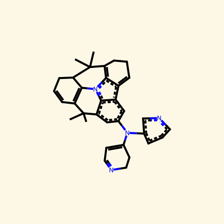 CC1(C)C2=C3C(CC=C2)C(C)(C)C2=c4c(c5cc(N(C6=CC=NCC6)c6cccnc6)cc1c5n43)=CCC2